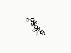 O=C1NC(c2ccncc2)=NC12CCN(S(=O)(=O)c1cccc(Cl)c1)CC2